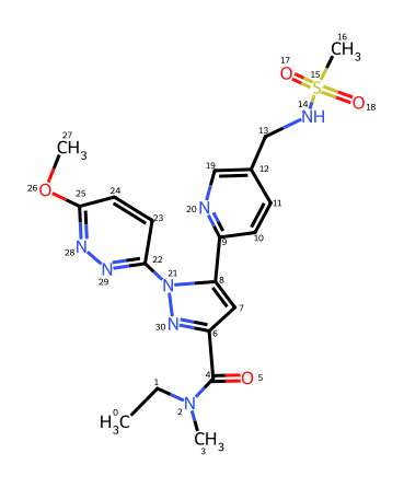 CCN(C)C(=O)c1cc(-c2ccc(CNS(C)(=O)=O)cn2)n(-c2ccc(OC)nn2)n1